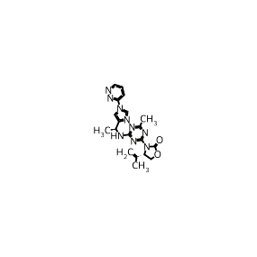 C=C(C)[C@H]1COC(=O)N1c1nc(C)nc(N[C@@H](C)c2cn(-c3cccnn3)cn2)n1